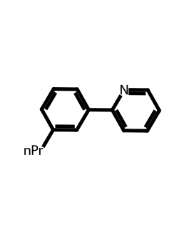 CCCc1cccc(-c2ccccn2)c1